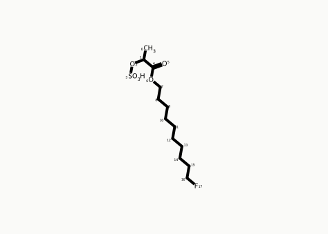 CC(OS(=O)(=O)O)C(=O)OCCCCCCCCCCF